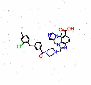 CCn1cncc1Cn1c(CN2CCN(C(=O)c3cccc(Cc4ccc(C)cc4Cl)c3)CC2)nc2ccc(C(=O)O)cc21